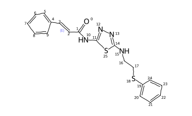 O=C(/C=C/c1ccccc1)Nc1nnc(NCCSc2ccccc2)s1